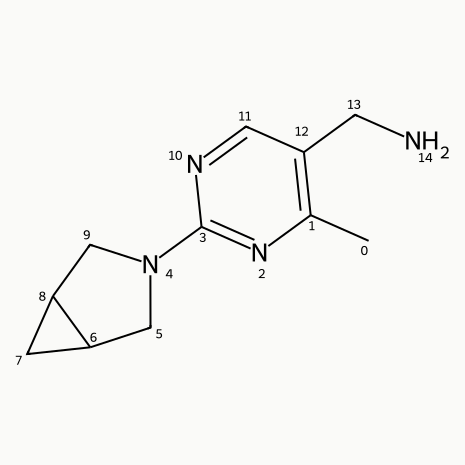 Cc1nc(N2CC3CC3C2)ncc1CN